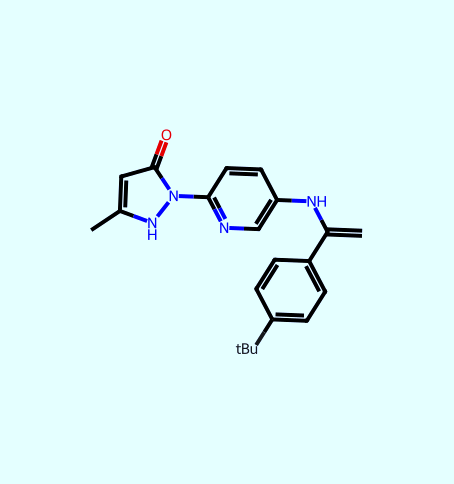 C=C(Nc1ccc(-n2[nH]c(C)cc2=O)nc1)c1ccc(C(C)(C)C)cc1